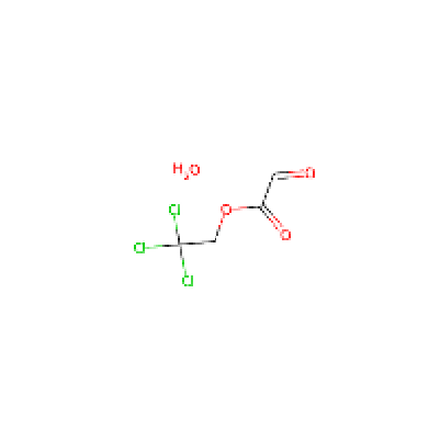 O.O=CC(=O)OCC(Cl)(Cl)Cl